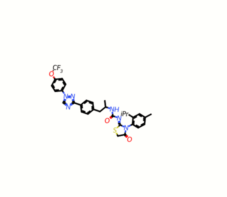 Cc1ccc(N2C(=O)CS/C2=N\C(=O)NC(C)Cc2ccc(-c3ncn(-c4ccc(OC(F)(F)F)cc4)n3)cc2)c(C(C)C)c1